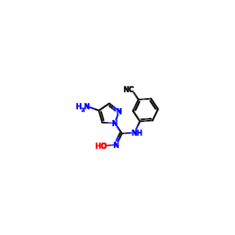 N#Cc1cccc(NC(=NO)n2cc(N)cn2)c1